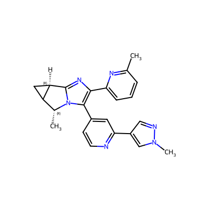 Cc1cccc(-c2nc3n(c2-c2ccnc(-c4cnn(C)c4)c2)[C@H](C)C2C[C@@H]32)n1